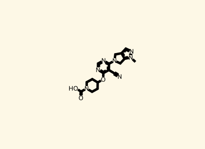 Cn1ncc2c1CN(c1ncnc(OC3CCN(C(=O)O)CC3)c1C#N)C2